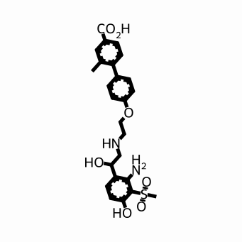 Cc1cc(C(=O)O)ccc1-c1ccc(OCCNCC(O)c2ccc(O)c(S(C)(=O)=O)c2N)cc1